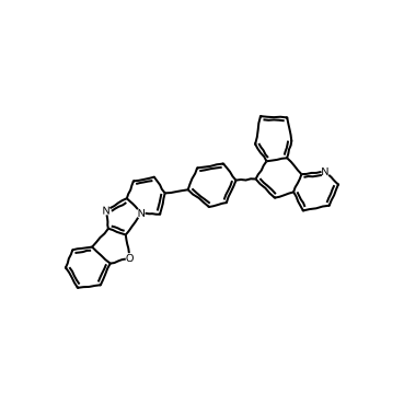 c1cnc2c(c1)cc(-c1ccc(-c3ccc4nc5c6ccccc6oc5n4c3)cc1)c1ccccc12